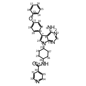 Nc1ncnc2c1c(-c1ccc(Oc3ccccc3)cc1)cn2C1CCC(NC(=O)c2ccncc2)CC1